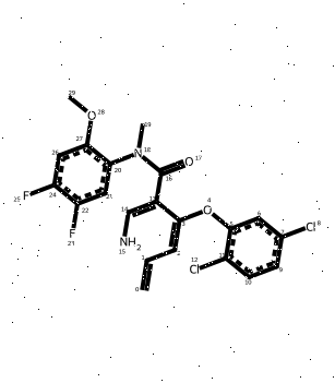 C=C/C=C(Oc1cc(Cl)ccc1Cl)\C(=C/N)C(=O)N(C)c1cc(F)c(F)cc1OC